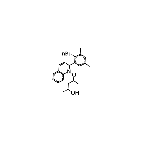 CCCCc1c(C)cc(C)cc1C1C=Cc2ccccc2N1OC(C)CC(C)O